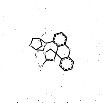 NC1=NC2(CO1)c1ccccc1Oc1cccc(N3C[C@@H]4C[C@H]3CO4)c12